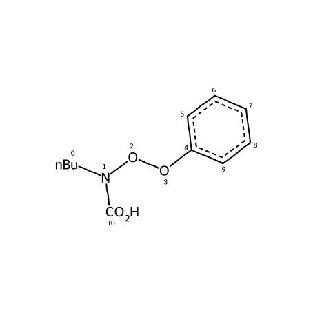 CCCCN(OOc1ccccc1)C(=O)O